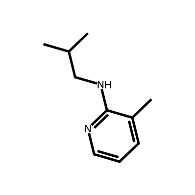 Cc1cccnc1NCC(C)C